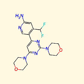 Nc1cc(C(F)F)c(-c2cc(N3CCOCC3)nc(N3CCOCC3)n2)cn1